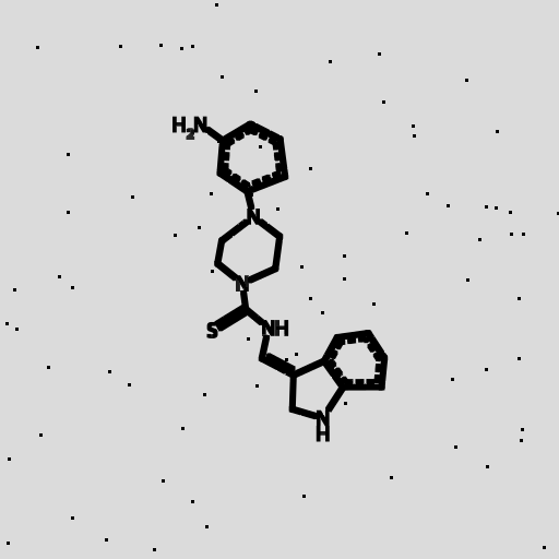 Nc1cccc(N2CCN(C(=S)N/C=C3/CNc4ccccc43)CC2)c1